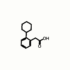 O=C(O)Cc1ccccc1[C]1CCCCC1